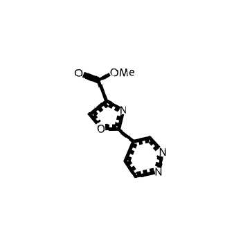 COC(=O)c1coc(-c2ccnnc2)n1